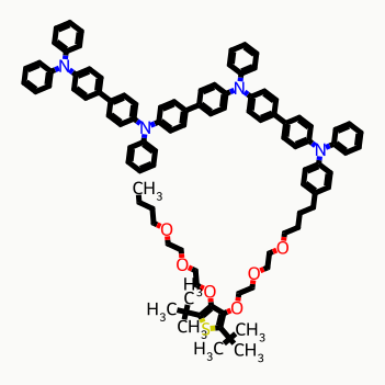 CCCCOCCOCCOc1c(C(C)(C)C)sc(C(C)(C)C)c1OCCOCCOCCCCc1ccc(N(c2ccccc2)c2ccc(-c3ccc(N(c4ccccc4)c4ccc(-c5ccc(N(c6ccccc6)c6ccc(-c7ccc(N(c8ccccc8)c8ccccc8)cc7)cc6)cc5)cc4)cc3)cc2)cc1